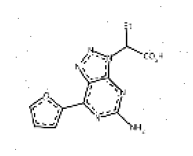 CCC(C(=O)O)n1nnc2c(-c3ccco3)nc(N)nc21